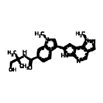 Cn1cc(-c2cc3c(ncc4cnn(C)c43)[nH]2)c2ccc(C(=O)NC(C)(C)CO)cc21